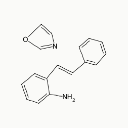 Nc1ccccc1C=Cc1ccccc1.c1cocn1